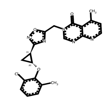 Cc1cccc(Cl)c1O[C@@H]1C[C@H]1c1noc(Cn2cnc3nccc(C)c3c2=O)n1